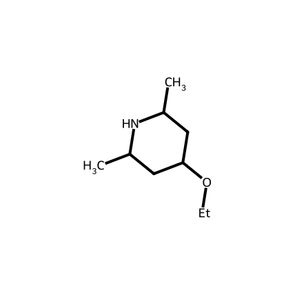 CCOC1CC(C)NC(C)C1